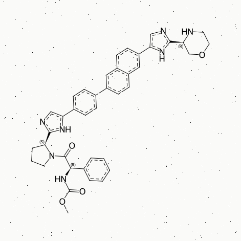 COC(=O)N[C@@H](C(=O)N1CCC[C@H]1c1ncc(-c2ccc(-c3ccc4cc(-c5cnc([C@@H]6COCCN6)[nH]5)ccc4c3)cc2)[nH]1)c1ccccc1